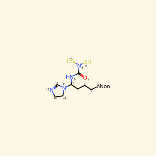 CCCCCCCCCCCCC(NC(=O)N(S)S)N1C=NCC1